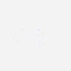 Cc1cc(Nc2cc(OCCN3CCOCC3)nc(NCC3CC(c4ccccc4)=NO3)n2)[nH]n1